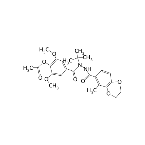 COc1cc(C(=O)N(NC(=O)c2ccc3c(c2C)OCCO3)C(C)(C)C)cc(OC)c1OC(C)=O